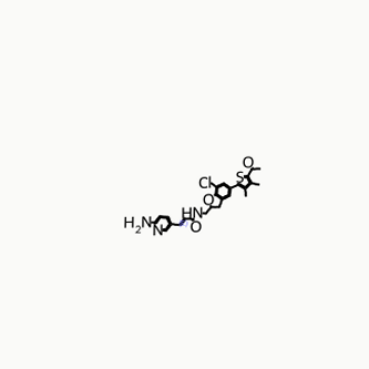 CC(=O)c1sc(-c2cc(Cl)c3c(c2)CC(CNC(=O)/C=C/c2ccc(N)nc2)O3)c(C)c1C